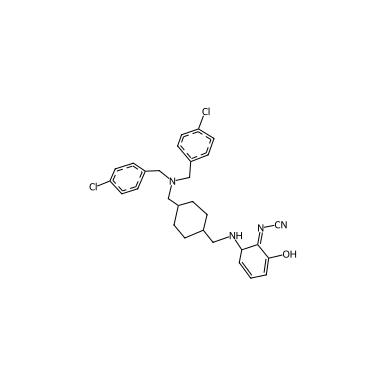 N#CN=C1C(O)=CC=CC1NCC1CCC(CN(Cc2ccc(Cl)cc2)Cc2ccc(Cl)cc2)CC1